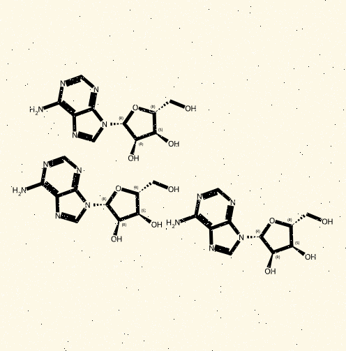 Nc1ncnc2c1ncn2[C@@H]1O[C@H](CO)[C@@H](O)[C@H]1O.Nc1ncnc2c1ncn2[C@@H]1O[C@H](CO)[C@@H](O)[C@H]1O.Nc1ncnc2c1ncn2[C@@H]1O[C@H](CO)[C@@H](O)[C@H]1O